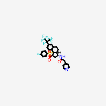 O=CC1C[C@@H](NC(=O)Cc2ccncc2)[C@@H]2CCc3cc(C(F)(C(F)(F)F)C(F)(F)F)ccc3[C@@]12S(=O)(=O)c1ccc(F)cc1